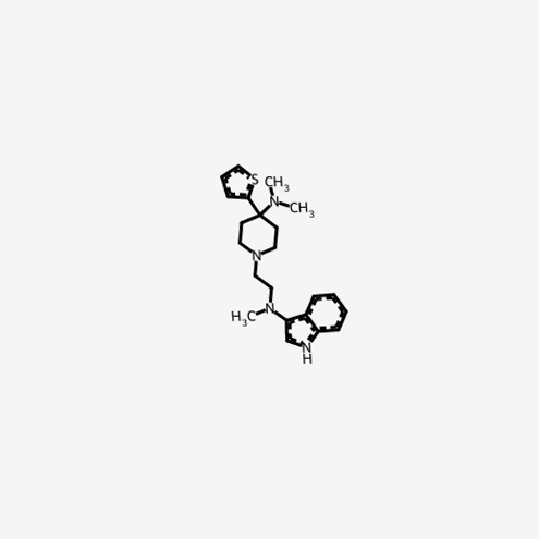 CN(CCN1CCC(c2cccs2)(N(C)C)CC1)c1c[nH]c2ccccc12